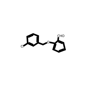 O=Cc1ccccc1OCc1cccc(Cl)c1